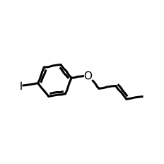 CC=CCOc1ccc(I)cc1